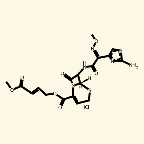 CON=C(C(=O)NC1C(=O)N2C(C(=O)OCC=CC(=O)OC)=CCS[C@@H]12)c1csc(N)n1.Cl